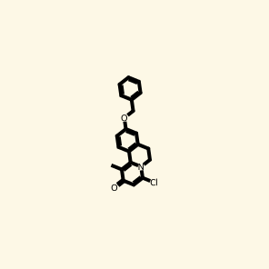 Cc1c2n(c(Cl)cc1=O)CCc1cc(OCc3ccccc3)ccc1-2